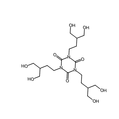 O=c1n(CCC(CO)CO)c(=O)n(CCC(CO)CO)c(=O)n1CCC(CO)CO